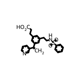 C=C(c1cccnc1)c1cc(CCNS(=O)(=O)c2ccccc2)cc(CCC(=O)O)c1